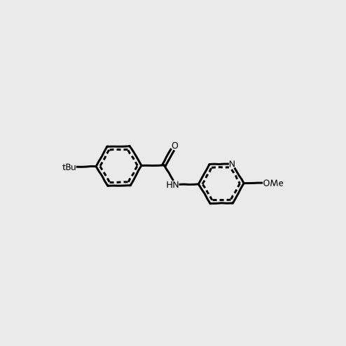 COc1ccc(NC(=O)c2ccc(C(C)(C)C)cc2)cn1